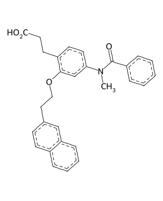 CN(C(=O)c1ccccc1)c1ccc(CCC(=O)O)c(OCCc2ccc3ccccc3c2)c1